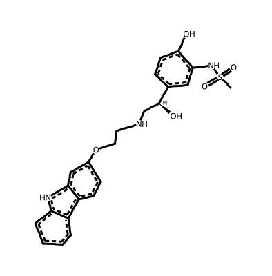 CS(=O)(=O)Nc1cc([C@@H](O)CNCCOc2ccc3c(c2)[nH]c2ccccc23)ccc1O